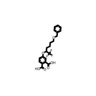 O=C(O)c1ccc(OC(CCCCOCc2ccccc2)C(F)(F)F)cc1C(=O)O